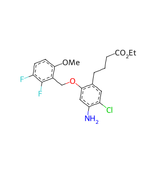 CCOC(=O)CCCc1cc(Cl)c(N)cc1OCc1c(OC)ccc(F)c1F